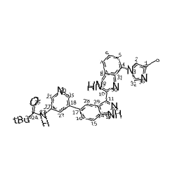 Cc1cn(-c2cccc3[nH]c(-c4n[nH]c5ccc(-c6cncc(NC(=O)C(C)(C)C)c6)cc45)nc23)cn1